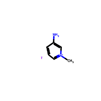 C[n+]1cccc(N)c1.[I-]